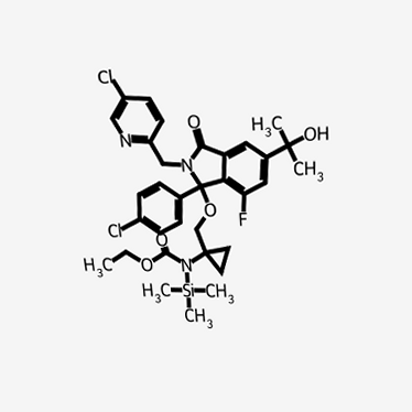 CCOC(=O)N(C1(COC2(c3ccc(Cl)cc3)c3c(F)cc(C(C)(C)O)cc3C(=O)N2Cc2ccc(Cl)cn2)CC1)[Si](C)(C)C